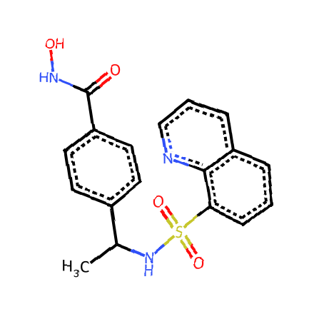 CC(NS(=O)(=O)c1cccc2cccnc12)c1ccc(C(=O)NO)cc1